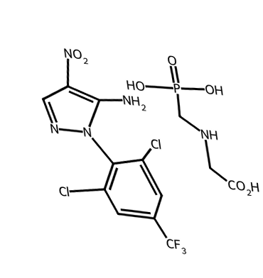 Nc1c([N+](=O)[O-])cnn1-c1c(Cl)cc(C(F)(F)F)cc1Cl.O=C(O)CNCP(=O)(O)O